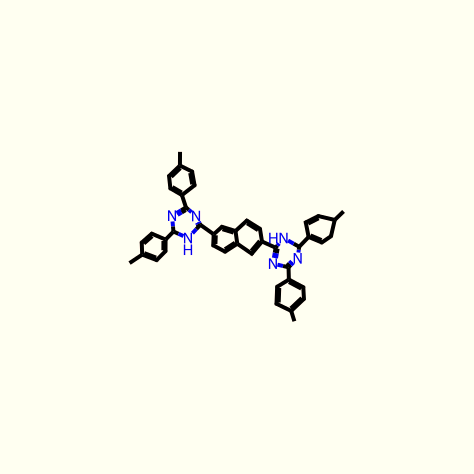 Cc1ccc(C2=NC(C3=CCC(C)C=C3)NC(c3ccc4cc(C5=NC(c6ccc(C)cc6)=NC(c6ccc(C)cc6)N5)ccc4c3)=N2)cc1